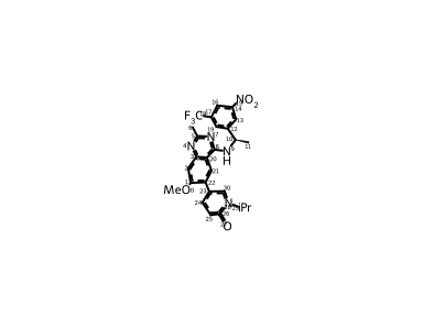 COc1cc2nc(C)nc(N[C@H](C)c3cc([N+](=O)[O-])cc(C(F)(F)F)c3)c2cc1-c1ccc(=O)n(C(C)C)c1